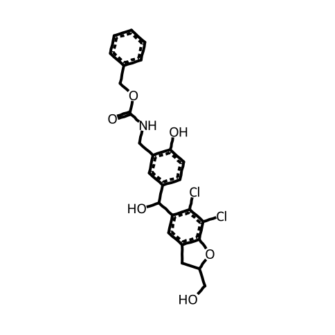 O=C(NCc1cc(C(O)c2cc3c(c(Cl)c2Cl)OC(CO)C3)ccc1O)OCc1ccccc1